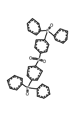 O=P(c1ccccc1)(c1ccccc1)c1ccc(S(=O)(=O)c2ccc(P(=O)(c3ccccc3)c3ccccc3)cc2)cc1